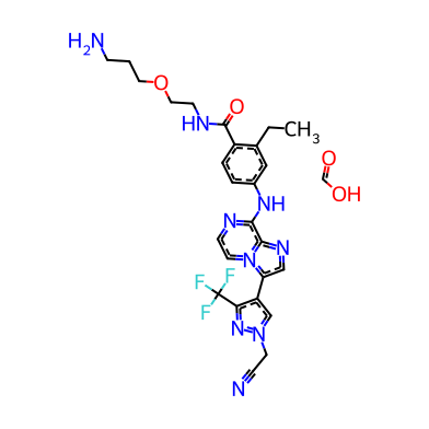 CCc1cc(Nc2nccn3c(-c4cn(CC#N)nc4C(F)(F)F)cnc23)ccc1C(=O)NCCOCCCN.O=CO